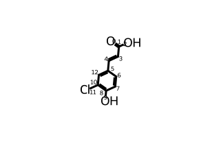 O=C(O)C=Cc1ccc(O)c(Cl)c1